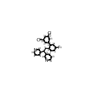 Fc1ccc(CC(c2cccnc2)c2cccnc2)c(-c2cc(Cl)cc(Cl)c2)c1